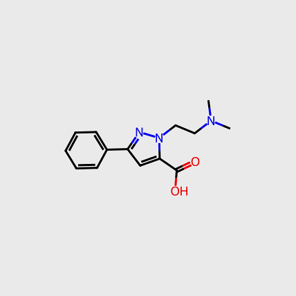 CN(C)CCn1nc(-c2ccccc2)cc1C(=O)O